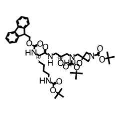 CC(C)(C)OC(=O)NCCCC[C@H](NC(=O)OCC1c2ccccc2-c2ccccc21)C(=O)NC[C@H](O)CN(CC1(O)CN(C(=O)OC(C)(C)C)C1)C(=O)OC(C)(C)C